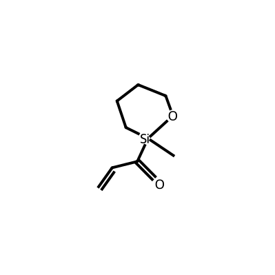 C=CC(=O)[Si]1(C)CCCCO1